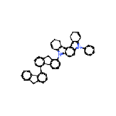 C1=Cc2c(c3c4c5c(n(-c6cccc7c6Cc6cccc(-c8cccc9c8-c8ccccc8C9)c6-7)c4ccc3n2-c2ccccc2)C=CCC5)CC1